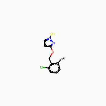 CCCc1cccc(Cl)c1COc1ccn(S)n1